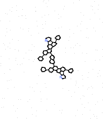 c1ccc(-c2ccc3c(c2)c(-c2ccc4cc(-c5cc6c7ccc(-c8ccccc8)c8c7c(cc6c6ccc(-c7ccccc7)cc56)-c5ncccc5-8)ccc4c2)cc2c4ccc(-c5ccccc5)c5c4c(cc32)-c2ncccc2-5)cc1